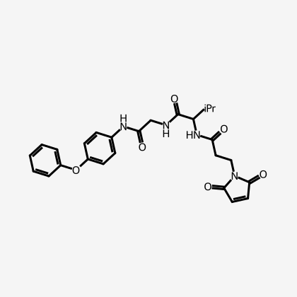 CC(C)C(NC(=O)CCN1C(=O)C=CC1=O)C(=O)NCC(=O)Nc1ccc(Oc2ccccc2)cc1